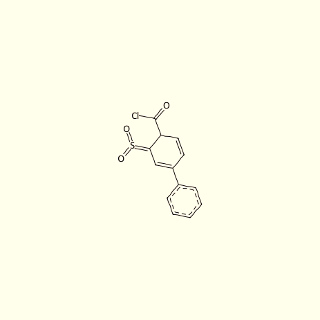 O=C(Cl)C1C=CC(c2ccccc2)=CC1=S(=O)=O